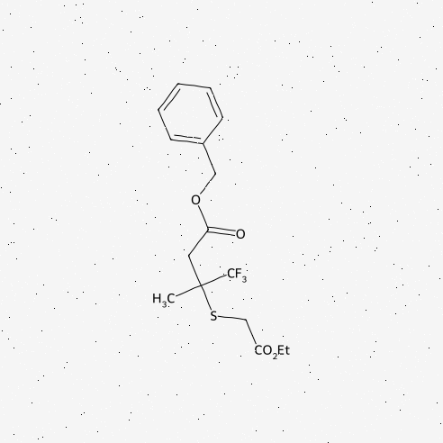 CCOC(=O)CSC(C)(CC(=O)OCc1ccccc1)C(F)(F)F